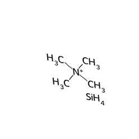 C[N+](C)(C)C.[SiH4]